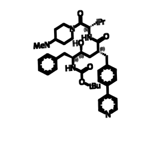 CNC1CCN(C(=O)[C@@H](NC(=O)[C@H](Cc2ccc(-c3ccncc3)cc2)C[C@H](O)[C@H](Cc2ccccc2)NC(=O)OC(C)(C)C)C(C)C)CC1